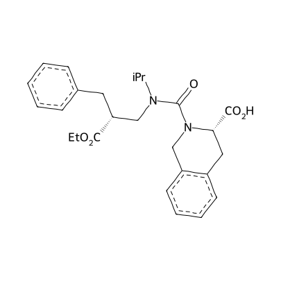 CCOC(=O)[C@H](Cc1ccccc1)CN(C(=O)N1Cc2ccccc2C[C@H]1C(=O)O)C(C)C